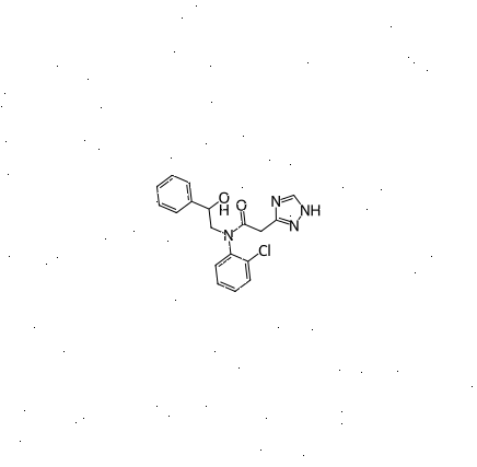 O=C(Cc1nc[nH]n1)N(CC(O)c1ccccc1)c1ccccc1Cl